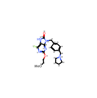 COCCOc1nc(F)c2[nH]c(=O)n(Cc3ccc(CN4CCCC4)cc3)c2n1